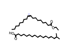 CC(C)CCCCCCCCCCCCCCC(=O)O.CCCCCCCC/C=C\CCCCCCCC(=O)OCC